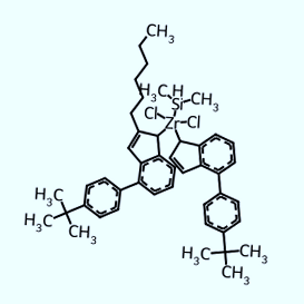 CCCCCCC1=Cc2c(-c3ccc(C(C)(C)C)cc3)cccc2[CH]1[Zr]([Cl])([Cl])([CH]1C=Cc2c(-c3ccc(C(C)(C)C)cc3)cccc21)[SiH](C)C